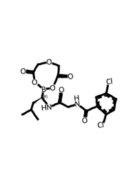 CC(C)C[C@H](NC(=O)CNC(=O)c1cc(Cl)ccc1Cl)B1OC(=O)COCC(=O)O1